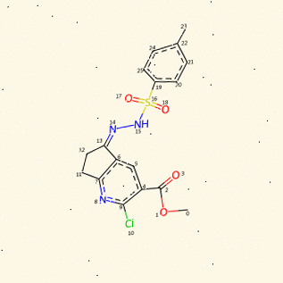 COC(=O)c1cc2c(nc1Cl)CC/C2=N/NS(=O)(=O)c1ccc(C)cc1